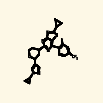 Fc1cc(C(F)(F)F)ccc1-c1nc(C2CCOC(c3cnn(C4CC4)c3)C2)nc2nc(C3CC3)sc12